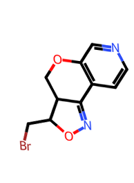 BrCC1ON=C2c3ccncc3OCC21